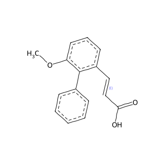 COc1cccc(/C=C/C(=O)O)c1-c1ccccc1